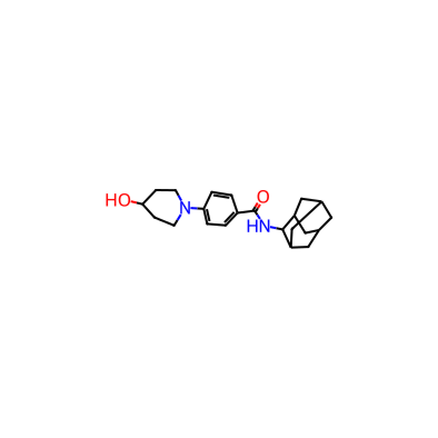 O=C(NC1C2CC3CC(C2)CC1C3)c1ccc(N2CCC(O)CC2)cc1